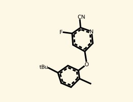 Cc1ccc(C(C)(C)C)cc1Oc1cnc(C#N)c(F)c1